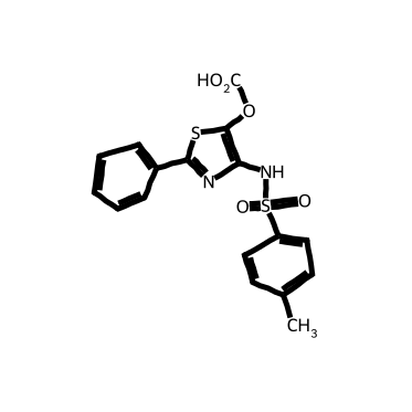 Cc1ccc(S(=O)(=O)Nc2nc(-c3ccccc3)sc2OC(=O)O)cc1